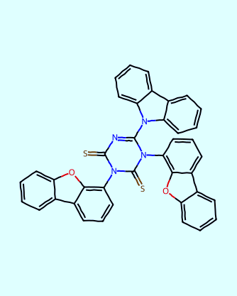 S=c1nc(-n2c3ccccc3c3ccccc32)n(-c2cccc3c2oc2ccccc23)c(=S)n1-c1cccc2c1oc1ccccc12